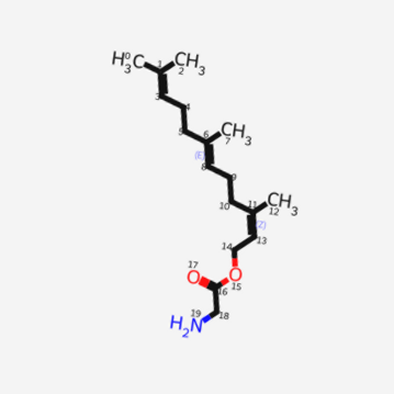 CC(C)=CCC/C(C)=C/CC/C(C)=C\COC(=O)CN